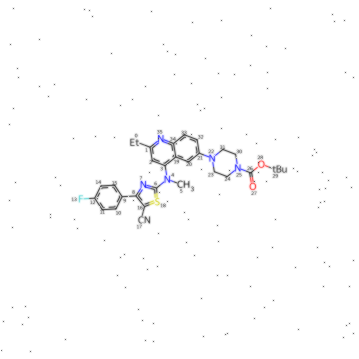 CCc1cc(N(C)c2nc(-c3ccc(F)cc3)c(C#N)s2)c2cc(N3CCN(C(=O)OC(C)(C)C)CC3)ccc2n1